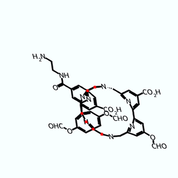 NCCNC(=O)c1cc2nc(c1)-c1cc(OC=O)cc(n1)C[N@]1Cc3cc(OC=O)cc(n3)-c3cc(C(=O)O)cc(n3)C[N@@](Cc3cc(C(=O)O)cc(n3)-c3cc(OC=O)cc(n3)C1)C2